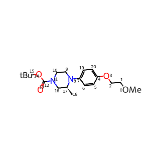 COCCOc1ccc(N2CCN(C(=O)OC(C)(C)C)C[C@@H]2C)cc1